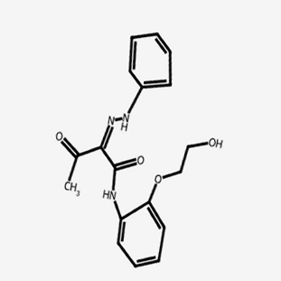 CC(=O)/C(=N/Nc1ccccc1)C(=O)Nc1ccccc1OCCO